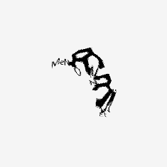 CCn1nnc(-c2ccc(N3CCc4cccc(C(=O)NC)c4C3)nc2C)c1C